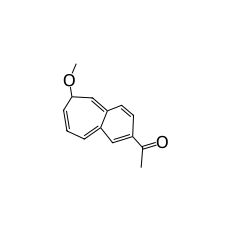 COC1C=CC=c2cc(C(C)=O)ccc2=C1